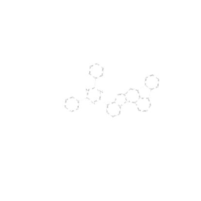 c1ccc(-c2nc(-c3ccccc3)nc(-c3cccc4c3sc3cc5c6c(cccc6c34)-c3ccccc3-5)n2)cc1